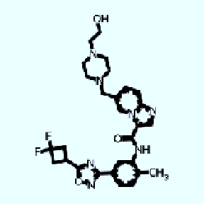 Cc1ccc(-c2noc(C3CC(F)(F)C3)n2)cc1NC(=O)c1cnc2ccc(CN3CCN(CCO)CC3)cn12